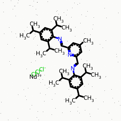 Cc1cc(C=Nc2c(C(C)C)cc(C(C)C)cc2C(C)C)nc(C=Nc2c(C(C)C)cc(C(C)C)cc2C(C)C)c1.[Cl-].[Cl-].[Cl-].[Nd+3]